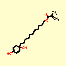 C=C(C)C(=O)OCCCCCCCCCCCC1(O)C=CC(O)=CC1